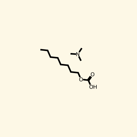 CCCCCCCCOC(=O)O.CN(C)C